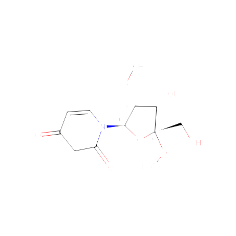 CO[C@H]1[C@H](N2C=CC(=O)CC2=O)O[C@@](CO)(OC)[C@H]1O